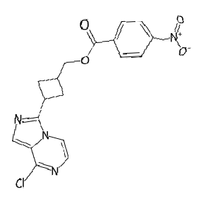 O=C(OCC1CC(c2ncc3c(Cl)nccn23)C1)c1ccc([N+](=O)[O-])cc1